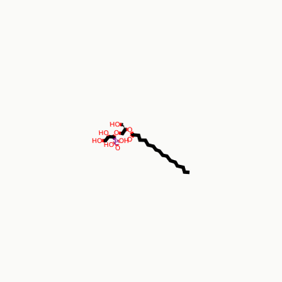 CCCCCCCCCCCCCCCC(=O)O[C@@H](CO)COC(C(O)CO)P(=O)(O)O